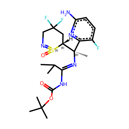 CC(C)(C)OC(=O)NC1=N[C@](C)(c2nc(N)ccc2F)[C@H]2CC(F)(F)CN=[S@]2(=O)C1(C)C